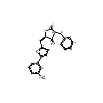 O=C1/C(=C\c2ccc(-c3cccc([N+](=O)[O-])c3)o2)SC(=S)N1Cc1ccccc1